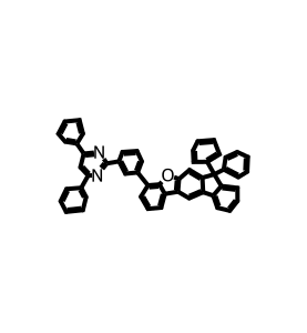 c1ccc(-c2cc(-c3ccccc3)nc(-c3cccc(-c4cccc5c4oc4cc6c(cc45)-c4ccccc4C6(c4ccccc4)c4ccccc4)c3)n2)cc1